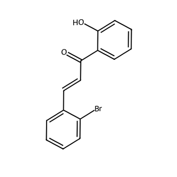 O=C(/C=C/c1ccccc1Br)c1ccccc1O